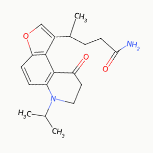 CC(CCC(N)=O)c1coc2ccc3c(c12)C(=O)CCN3C(C)C